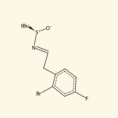 CC(C)(C)[S@@+]([O-])/N=C/Cc1ccc(F)cc1Br